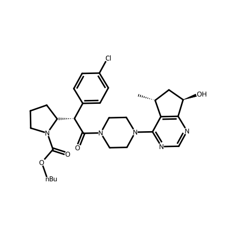 CCCCOC(=O)N1CCCC1[C@@H](C(=O)N1CCN(c2ncnc3c2[C@H](C)C[C@H]3O)CC1)c1ccc(Cl)cc1